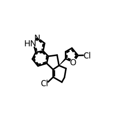 ClC1=C2c3ccc4[nH]ncc4c3C[C@]2(c2ccc(Cl)o2)CCC1